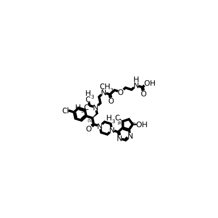 CC(C)N(CCN(C)C(=O)COCCNC(=O)O)C[C@@H](C(=O)N1CCN(c2ncnc3c2[C@H](C)C[C@H]3O)CC1)c1ccc(Cl)cc1